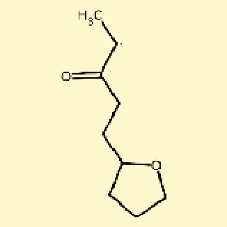 C[CH]C(=O)CCC1CCCO1